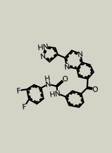 O=C(Nc1cccc(C(=O)c2ccc3ncc(-c4cn[nH]c4)nc3c2)c1)Nc1ccc(F)c(F)c1